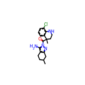 CC1CCc2c(nn(C(=O)C3(C)CCNc4c(Cl)cccc43)c2N)C1